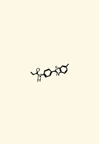 CCC(=O)Nc1ccc(-c2nc3ccc(C)cc3s2)cc1